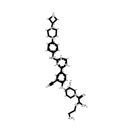 CCCOC(C)C(=O)N1CC[C@H](Oc2ccc(-c3ncnc(Nc4ccc(N5CCN(C6COC6)CC5)cc4)n3)cc2C#N)[C@H](F)C1